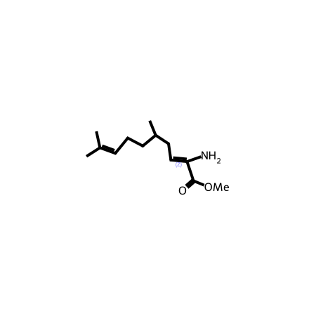 COC(=O)/C(N)=C/CC(C)CCC=C(C)C